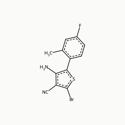 Cc1cc(F)ccc1-c1sc(Br)c(C#N)c1N